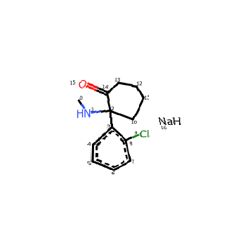 CNC1(c2ccccc2Cl)CCCCC1=O.[NaH]